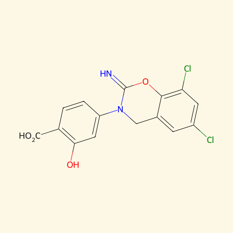 N=C1Oc2c(Cl)cc(Cl)cc2CN1c1ccc(C(=O)O)c(O)c1